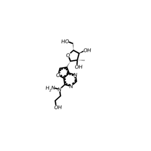 C[C@@]1(O)[C@H](O)[C@@H](CO)O[C@H]1c1coc2c(N(N)CCO)ncnc12